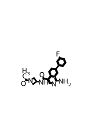 CC(=O)N1CC(NC(=O)c2cnc(N)c3cc(-c4cccc(F)c4)ccc23)C1